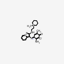 CC1=C/C(=N\c2c(NCC[N+]3(C)CCCCC3)nn3ccccc23)C(N)=CC1=O.[Cl-]